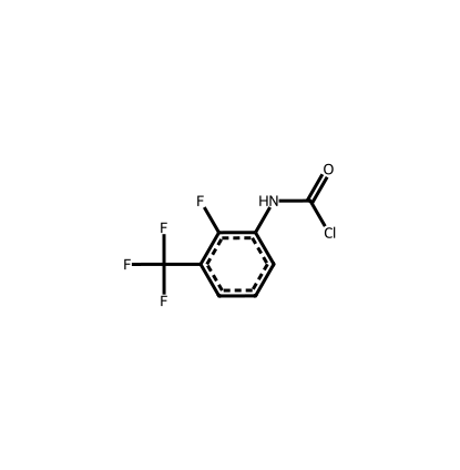 O=C(Cl)Nc1cccc(C(F)(F)F)c1F